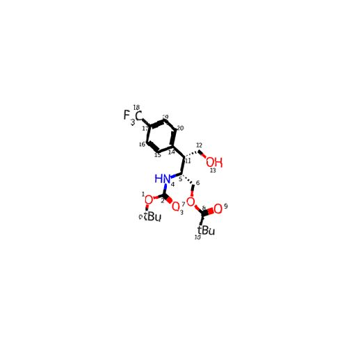 CC(C)(C)OC(=O)N[C@@H](COC(=O)C(C)(C)C)[C@@H](CO)c1ccc(C(F)(F)F)cc1